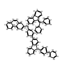 c1ccc(C(=C2c3ccccc3-c3ccc(N(c4ccc(-c5ccc6c(c5)c5ccccc5n6-c5ccc(-c6ccccc6)cc5)cc4)c4ccc5c(ccc6ccccc65)c4)cc32)c2ccccc2)cc1